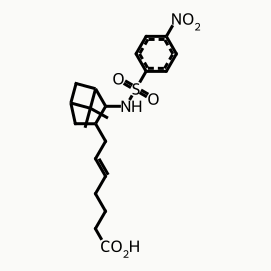 CC1(C)C2CC(C/C=C/CCCC(=O)O)C(NS(=O)(=O)c3ccc([N+](=O)[O-])cc3)C1C2